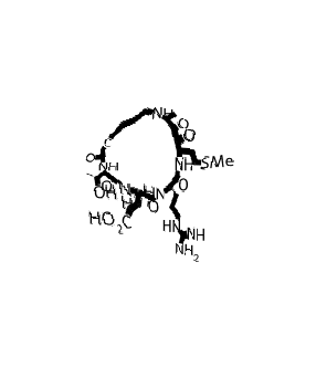 CSCCC1NC(=O)[C@H](CCCNC(=N)N)NC(=O)C(CCC(=O)O)NC(=O)[C@H]([C@@H](C)O)NC(=O)CCCCCCNC(C)C(=O)C1=O